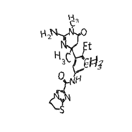 C=C(CC)/C(=C\C(=C/C)NC(=O)c1cn2c(n1)SCC2)C1(C)CC(=O)N(C)C(N)=N1